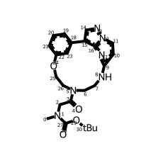 CN(CC(=O)N1CCNc2ccn3ncc(c3n2)-c2cccc(c2)OCC1)C(=O)OC(C)(C)C